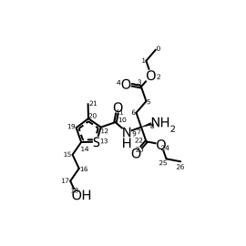 CCOC(=O)CC[C@@](N)(NC(=O)c1sc(CCCO)cc1C)C(=O)OCC